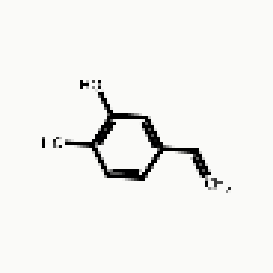 C=[C]c1ccc(O)c(O)c1